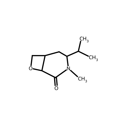 CC(C)C1CC2COC2C(=O)N1C